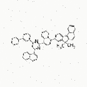 CC1(C)c2cc(-c3ccc(-c4nc(-c5cccc(-c6ccccc6)c5)cc(-c5cccc6ccccc56)n4)c4ccccc34)ccc2-c2c1ccc1ccccc21